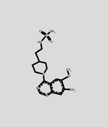 COc1cc2c(N3CCC(CCNS(N)(=O)=O)CC3)ncnc2cc1C